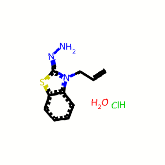 C=CCn1c(=NN)sc2ccccc21.Cl.O